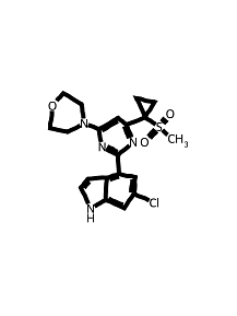 CS(=O)(=O)C1(c2cc(N3CCOCC3)nc(-c3cc(Cl)cc4[nH]ccc34)n2)CC1